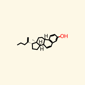 C=C(CCC)[C@H]1CC[C@H]2[C@@H]3C=Cc4cc(O)ccc4[C@H]3CC[C@]12C